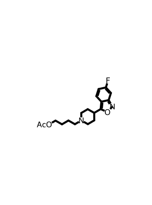 CC(=O)OCCCCN1CCC(c2onc3cc(F)ccc23)CC1